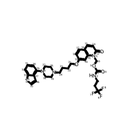 O=C(NCCC(F)(F)F)OCn1c(=O)ccc2ccc(OCCCCN3CCN(c4cccc5sccc45)CC3)cc21